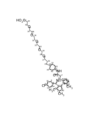 Cc1sc2c(c1C)C(c1ccc(Cl)cc1)=N[C@@H](CC(=O)Nc1ccc(CCCOCCOCCOCCOCCOCCC(=O)O)cc1)c1nnc(C)n1-2